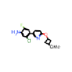 COC1CC(Oc2ccc(-c3cc(F)c(N)cc3Cl)cn2)C1